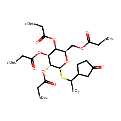 CCCCCCCCCCCC(=O)OC[C@H]1O[C@@H](SC(C2CCC(=O)C2)[N+](=O)[O-])[C@H](OC(=O)CCCCCCCCCCC)[C@@H](OC(=O)CCCCCCCCCCC)[C@H]1OC(=O)CCCCCCCCCCC